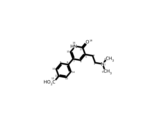 CN(C)CCc1cc(-c2ccc(C(=O)O)cc2)c[nH]c1=O